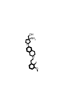 COc1cccc(CC[C@@H]2CCc3cc([C@H]4CC[C@](N)(CO)C4)ccc3C2)c1F